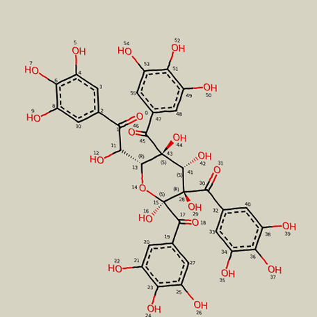 O=C(c1cc(O)c(O)c(O)c1)C(O)[C@H]1O[C@](O)(C(=O)c2cc(O)c(O)c(O)c2)[C@@](O)(C(=O)c2cc(O)c(O)c(O)c2)[C@@H](O)[C@@]1(O)C(=O)c1cc(O)c(O)c(O)c1